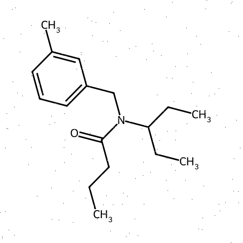 CCCC(=O)N(Cc1cccc(C)c1)C(CC)CC